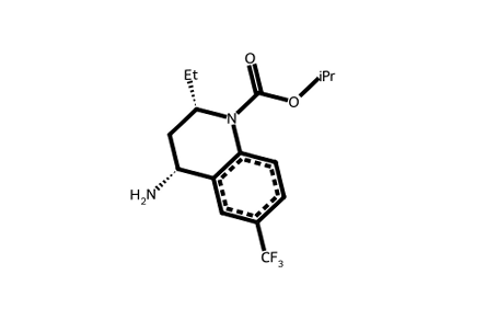 CC[C@H]1C[C@@H](N)c2cc(C(F)(F)F)ccc2N1C(=O)OC(C)C